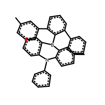 Cc1cccc(-c2cccc(-c3ccccc3)c2B2c3ccccc3N(c3ccccc3)c3ccc(C)cc32)c1